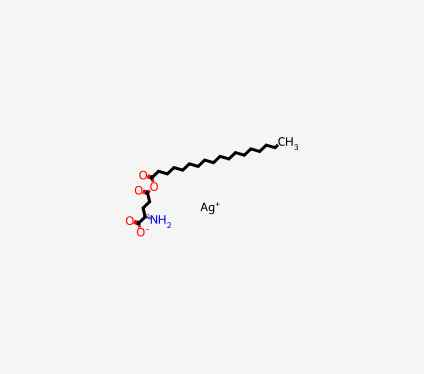 CCCCCCCCCCCCCCCCCC(=O)OC(=O)CC[C@H](N)C(=O)[O-].[Ag+]